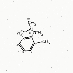 Cc1ccccc1.[CH3][Al]([CH3])[CH3]